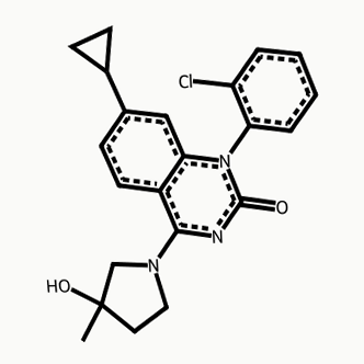 CC1(O)CCN(c2nc(=O)n(-c3ccccc3Cl)c3cc(C4CC4)ccc23)C1